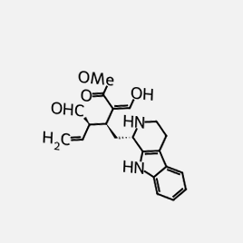 C=C[C@@H](C=O)[C@H](C[C@@H]1NCCc2c1[nH]c1ccccc21)/C(=C/O)C(=O)OC